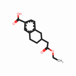 CCOC(=O)CC1CCc2cc(C(=O)O)ccc2C1